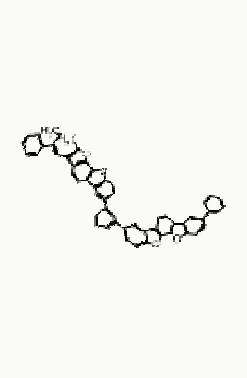 C=C/C(=C\c1c(C)oc2c1ccc1c3cc(-c4cccc(-c5ccc6oc7c(ccc8c9cc(-c%10ccccc%10)ccc9oc87)c6c5)c4)ccc3oc12)c1ccccc1